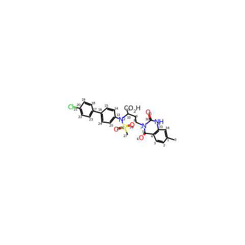 Cc1ccc2c(=O)n(CCC(C(=O)O)N(c3ccc(-c4ccc(Cl)cc4)cc3)S(C)(=O)=O)c(=O)[nH]c2c1